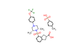 C[C@@H]1CN(c2ccc(OC(F)(F)F)cc2)C[C@H](C)N1S(=O)(=O)c1cccc2c1CC(C(=O)O)C2.Cc1ccc(S(=O)(=O)O)cc1